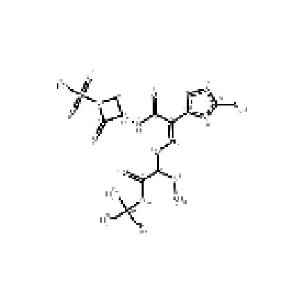 CSC(ON=C(C(=O)N[C@H]1CN(S(=O)(=O)O)C1=O)c1csc(N)n1)C(=O)OC(C)(C)C